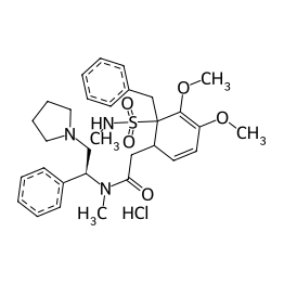 CNS(=O)(=O)C1(Cc2ccccc2)C(OC)=C(OC)C=CC1CC(=O)N(C)[C@H](CN1CCCC1)c1ccccc1.Cl